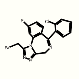 Fc1ccc2c(c1)-n1c(CBr)nnc1CN=C2c1ccccc1Cl